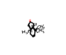 CC1(C)CCC[C@@]2(C)CC(=O)C[C@@H]12